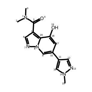 CN(C)C(=O)c1cnn2cc(-c3cnn(C)c3)cc(O)c12